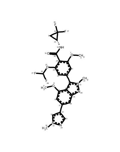 COc1cc(-c2c3c(OC)cc(-c4cnn(C)c4)cc3nn2C)cc(OC(F)F)c1C(=O)N[C@@H]1CC1(F)F